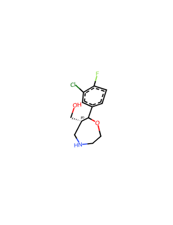 OC[C@H]1CNCCOC1c1ccc(F)c(Cl)c1